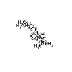 CCN(CC)c1ccc(C=CC=C(c2ccccc2)C2(c3ccc(N(CC)CC)cc3)C=CC=CC2)cc1